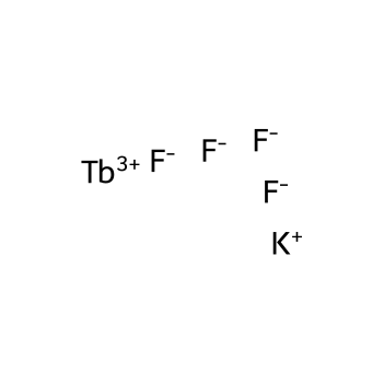 [F-].[F-].[F-].[F-].[K+].[Tb+3]